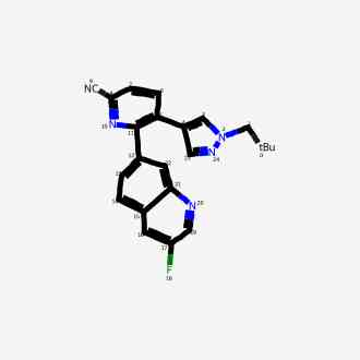 CC(C)(C)Cn1cc(-c2ccc(C#N)nc2-c2ccc3cc(F)cnc3c2)cn1